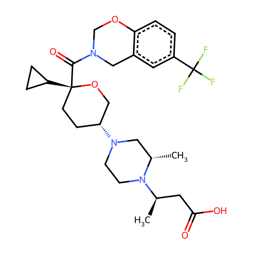 C[C@H](CC(=O)O)N1CCN([C@@H]2CC[C@@](C(=O)N3COc4ccc(C(F)(F)F)cc4C3)(C3CC3)OC2)C[C@@H]1C